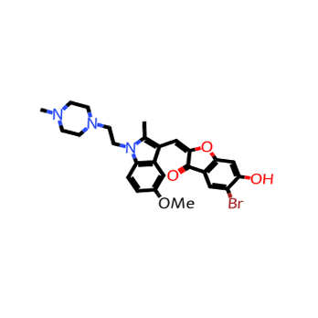 COc1ccc2c(c1)c(C=C1Oc3cc(O)c(Br)cc3C1=O)c(C)n2CCN1CCN(C)CC1